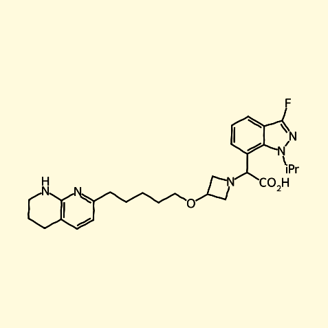 CC(C)n1nc(F)c2cccc(C(C(=O)O)N3CC(OCCCCCc4ccc5c(n4)NCCC5)C3)c21